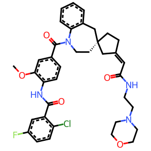 COc1cc(C(=O)N2CC[C@@]3(CCC(=CC(=O)NCCN4CCOCC4)C3)Cc3ccccc32)ccc1NC(=O)c1cc(F)ccc1Cl